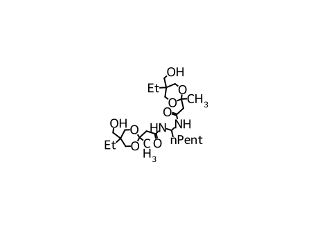 CCCCCC(NC(=O)CC1(C)OCC(CC)(CO)CO1)NC(=O)CC1(C)OCC(CC)(CO)CO1